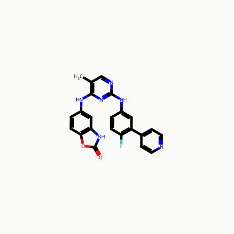 Cc1cnc(Nc2ccc(F)c(-c3ccncc3)c2)nc1Nc1ccc2oc(=O)[nH]c2c1